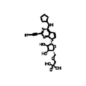 CC(C)C#Cc1nc(NC2CCCC2)c2ccn([C@@H]3O[C@H](COCP(=O)(O)O)[C@@H](O)[C@H]3O)c2n1